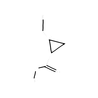 CC(C)OC(=O)[C@H]1C[C@H]1CF